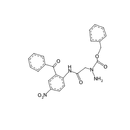 NN(CC(=O)Nc1ccc([N+](=O)[O-])cc1C(=O)c1ccccc1)C(=O)OCc1ccccc1